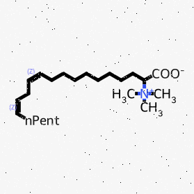 CCCCC/C=C\C/C=C\CCCCCCCCC(C(=O)[O-])[N+](C)(C)C